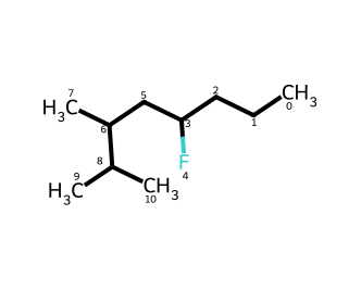 CCCC(F)CC(C)C(C)C